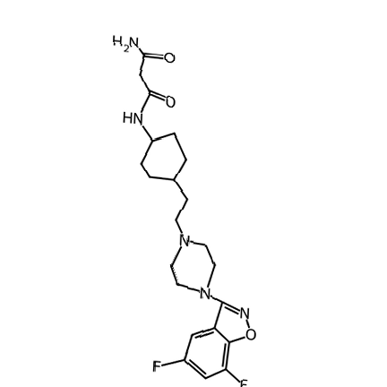 NC(=O)CC(=O)NC1CCC(CCN2CCN(c3noc4c(F)cc(F)cc34)CC2)CC1